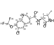 CC1C[C@H](NC(=O)c2cnc3cc(OC(F)F)c(Cl)cc3c2)C(=O)N1